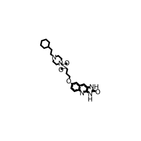 O=c1[nH]c2cc3cc(OCCCS(=O)(=O)N4CCN(CCC5CCCCC5)CC4)ccc3nc2[nH]1